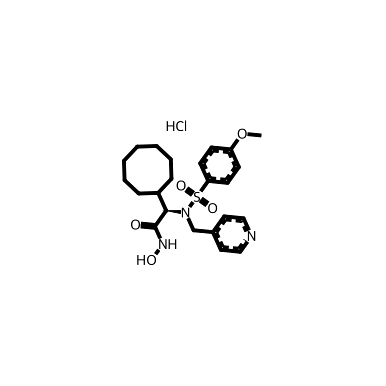 COc1ccc(S(=O)(=O)N(Cc2ccncc2)[C@@H](C(=O)NO)C2CCCCCCC2)cc1.Cl